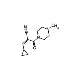 CN1CCN(C(=O)/C(C#N)=C\C2CC2)CC1